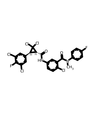 CN(C(=O)c1cc(NC(=O)[C@@H]2[C@@H](c3cc(Cl)c(F)c(Cl)c3)C2(Cl)Cl)ccc1Cl)c1ccc(F)cc1